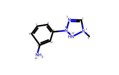 CN1C=NN(c2cccc(N)c2)N1